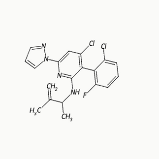 C=C(C)C(C)Nc1nc(-n2cccn2)cc(Cl)c1-c1c(F)cccc1Cl